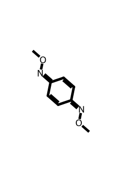 CON=C1C=CC(=NOC)C=C1